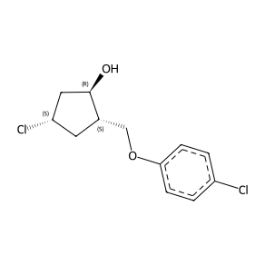 O[C@@H]1C[C@@H](Cl)C[C@H]1COc1ccc(Cl)cc1